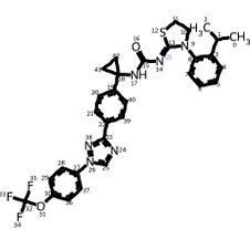 CC(C)c1ccccc1N1CCS/C1=N\C(=O)NC1(c2ccc(-c3ncn(-c4ccc(OC(F)(F)F)cc4)n3)cc2)CC1